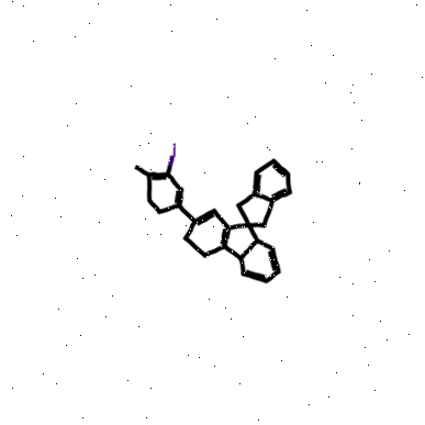 CC1=C(I)C=C(C2=CC3=C(CC2)C2C=CC=CC2C32Cc3ccccc3C2)CC1